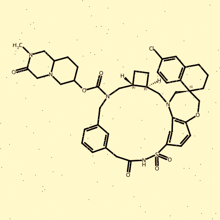 CN1CC2CCC(OC(=O)N3Cc4cccc(c4)CC(=O)NS(=O)(=O)c4ccc5c(c4)N(C[C@@H]4CC[C@H]4C3)C[C@@]3(CCCc4cc(Cl)ccc43)CO5)CN2CC1=O